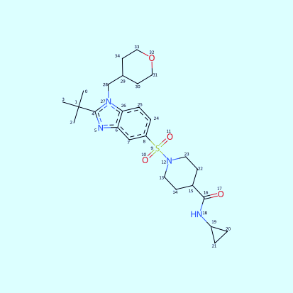 CC(C)(C)c1nc2cc(S(=O)(=O)N3CCC(C(=O)NC4CC4)CC3)ccc2n1CC1CCOCC1